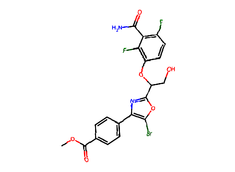 COC(=O)c1ccc(-c2nc(C(CO)Oc3ccc(F)c(C(N)=O)c3F)oc2Br)cc1